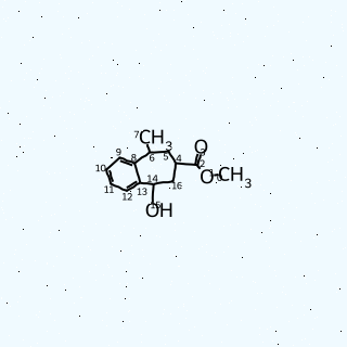 COC(=O)C1CC(C)c2ccccc2C(O)C1